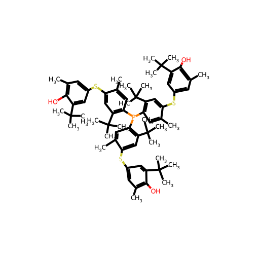 Cc1cc(P(c2cc(C)c(Sc3cc(C)c(O)c(C(C)(C)C)c3)cc2C(C)(C)C)c2cc(C)c(Sc3cc(C)c(O)c(C(C)(C)C)c3)cc2C(C)(C)C)c(C(C)(C)C)cc1Sc1cc(C)c(O)c(C(C)(C)C)c1